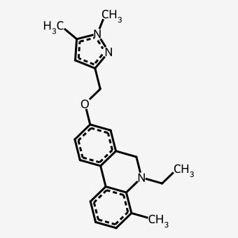 CCN1Cc2cc(OCc3cc(C)n(C)n3)ccc2-c2cccc(C)c21